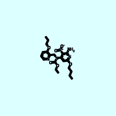 CCCCOc1cc(N(Cc2ncccc2OCCC)C(=O)OCC)c([N+](=O)[O-])c(N)n1